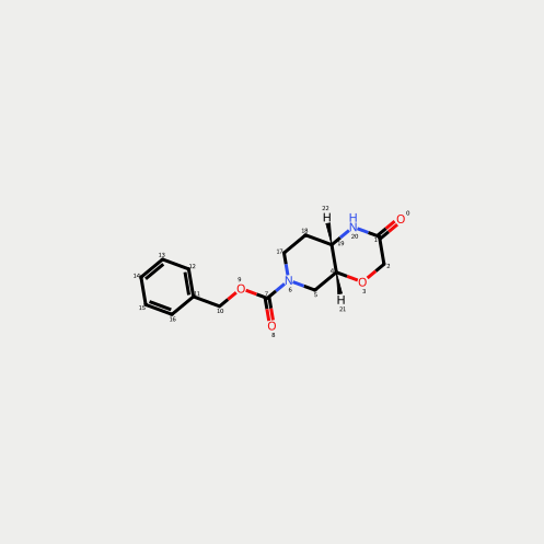 O=C1CO[C@@H]2CN(C(=O)OCc3ccccc3)CC[C@@H]2N1